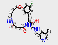 CCc1cncc(CNCC(O)C2Cc3cc(F)cc(c3)OCCCCNC(=O)CCC(=O)N2)c1